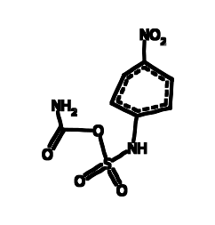 NC(=O)OS(=O)(=O)Nc1ccc([N+](=O)[O-])cc1